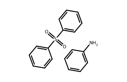 Nc1ccccc1.O=S(=O)(c1ccccc1)c1ccccc1